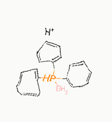 B[PH](c1ccccc1)(c1ccccc1)c1ccccc1.[H+]